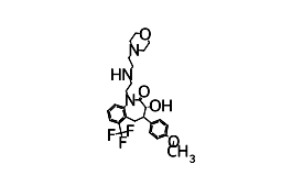 COc1ccc(C2Cc3c(cccc3C(F)(F)F)N(CCNCCN3CCOCC3)C(=O)[C@@H]2O)cc1